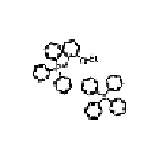 CCOc1ccccc1C[P+](c1ccccc1)(c1ccccc1)c1ccccc1.c1ccc([B-](c2ccccc2)(c2ccccc2)c2ccccc2)cc1